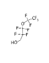 OCC(F)(F)C(F)(F)OC(F)(F)C(F)(F)F